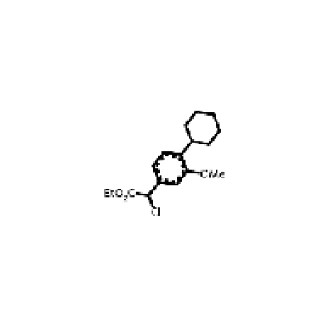 CCOC(=O)C(Cl)c1ccc(C2CCCCC2)c(OC)c1